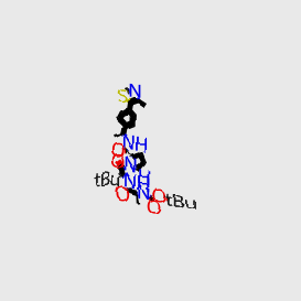 Cc1ncsc1-c1ccc([C@H](C)NC(=O)[C@@H]2CCCN2C(=O)C(NC(=O)[C@H](C)NC(=O)OC(C)(C)C)C(C)(C)C)cc1